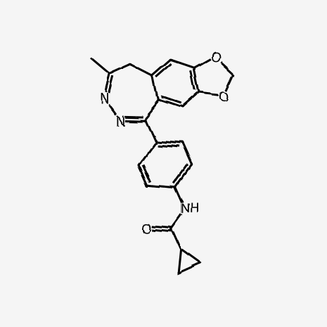 CC1=NN=C(c2ccc(NC(=O)C3CC3)cc2)c2cc3c(cc2C1)OCO3